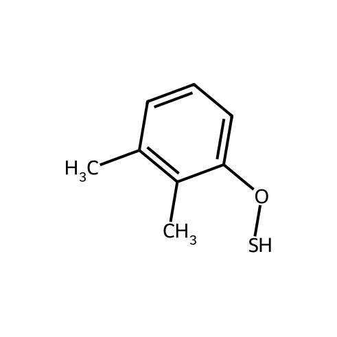 Cc1cccc(OS)c1C